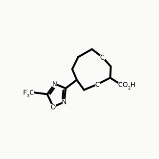 O=C(O)C1CCCCCC(c2noc(C(F)(F)F)n2)CC1